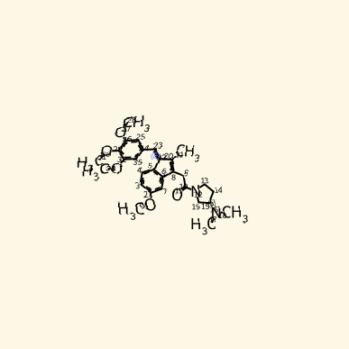 COc1ccc2c(c1)C(CC(=O)N1CC[C@H](N(C)C)C1)=C(C)/C2=C/c1cc(OC)c(OC)c(OC)c1